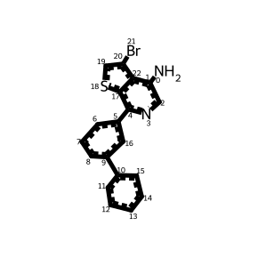 Nc1cnc(-c2cccc(-c3ccccc3)c2)c2scc(Br)c12